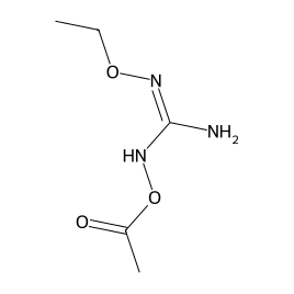 CCON=C(N)NOC(C)=O